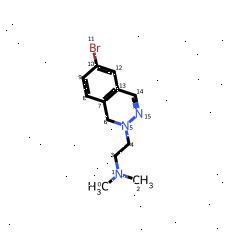 CN(C)CCN1Cc2ccc(Br)cc2C=N1